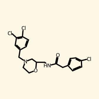 O=C(Cc1ccc(Cl)cc1)NCC1CN(Cc2ccc(Cl)c(Cl)c2)CCO1